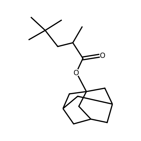 CC(CC(C)(C)C)C(=O)OC12CC3CC(CC(C3)C1)C2